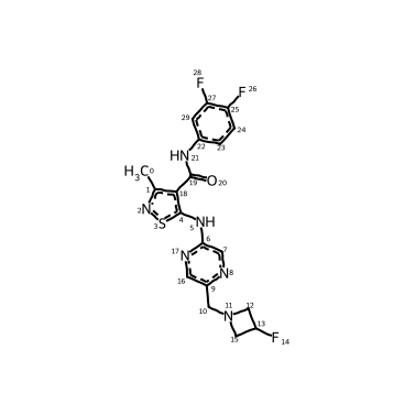 Cc1nsc(Nc2cnc(CN3CC(F)C3)cn2)c1C(=O)Nc1ccc(F)c(F)c1